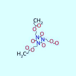 C=CC(=O)OCCn1c(=O)n(CCOC=O)c(=O)n(CCOC(=O)C=C)c1=O